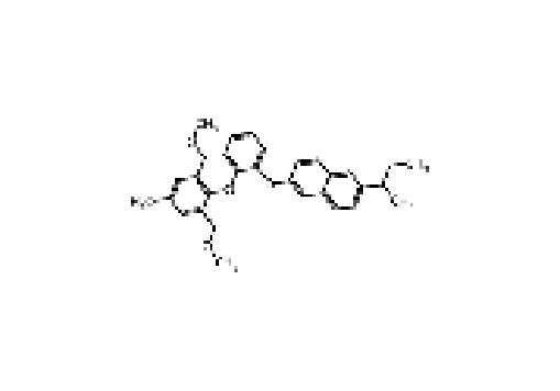 CCC(C)c1ccc2cc(Oc3ccccc3Oc3c(COC)cc(C)cc3COC)ccc2c1